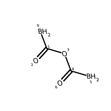 BC(=O)OC(B)=O